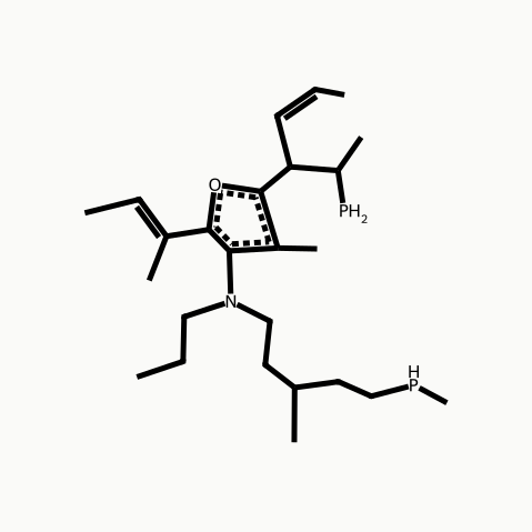 C/C=C\C(c1oc(/C(C)=C/C)c(N(CCC)CCC(C)CCPC)c1C)C(C)P